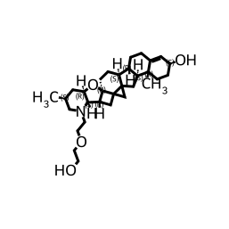 C[C@H]1C[C@H]2O[C@@]34CC[C@H]5[C@@H]6CCC7=C[C@@H](O)CC[C@]7(C)[C@H]6CC56CC63C[C@@H]4[C@@H]2N(CCOCCO)C1